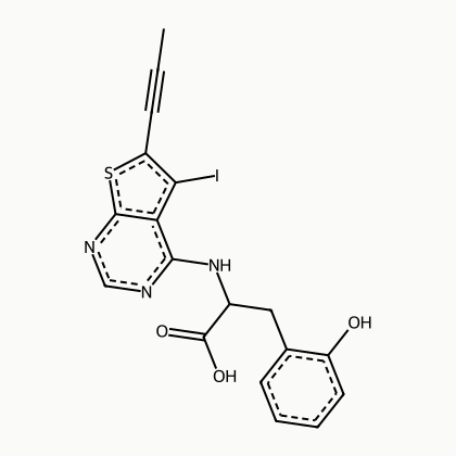 CC#Cc1sc2ncnc(NC(Cc3ccccc3O)C(=O)O)c2c1I